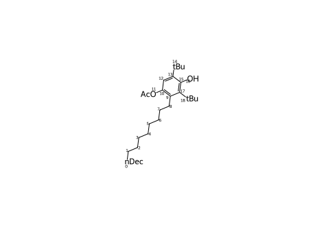 CCCCCCCCCCCCCCCCCCc1c(OC(C)=O)cc(C(C)(C)C)c(O)c1C(C)(C)C